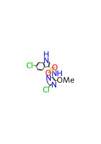 COc1nc(Cl)cnc1NS(=O)(=O)c1c[nH]c2cc(Cl)ccc12